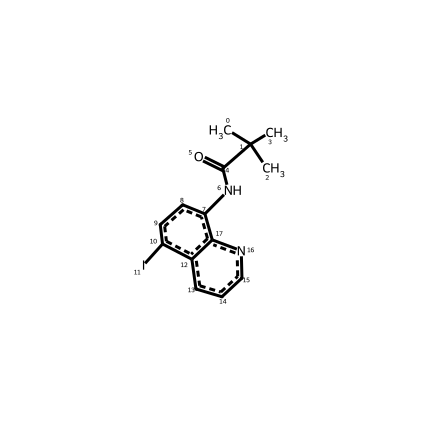 CC(C)(C)C(=O)Nc1ccc(I)c2cccnc12